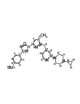 Cc1cc(-c2nc(-c3ccc(C(C)(C)C)cc3)no2)nn1Cc1ccnc(N2CCN(C3CC3)CC2)c1